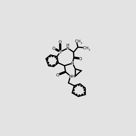 CC(C)C1NS(=O)(=O)c2ccccc2C(C(=O)NCc2ccccc2)N(C2CC2)C1=O